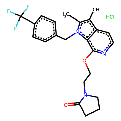 Cc1c(C)n(Cc2ccc(C(F)(F)F)cc2)c2c(OCCN3CCCC3=O)nccc12.Cl